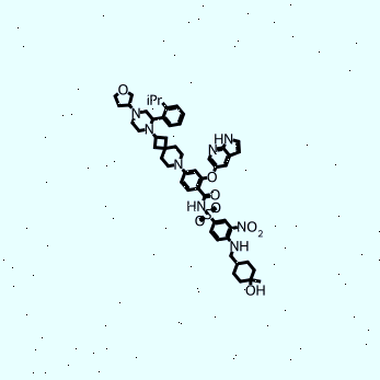 CC(C)c1ccccc1C1CN(C2CCOC2)CCN1C1CC2(CCN(c3ccc(C(=O)NS(=O)(=O)c4ccc(NCC5CCC(C)(O)CC5)c([N+](=O)[O-])c4)c(Oc4cnc5[nH]ccc5c4)c3)CC2)C1